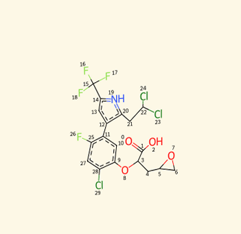 O=C(O)C(CC1CO1)Oc1cc(-c2cc(C(F)(F)F)[nH]c2CC(Cl)Cl)c(F)cc1Cl